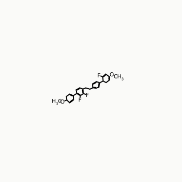 COC1=CCC(c2ccc(CCc3ccc(C4=CCC(OC)C=C4)c(F)c3F)cc2)C(F)=C1